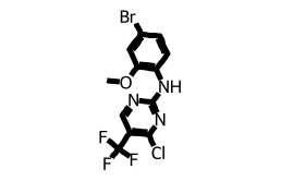 COc1cc(Br)ccc1Nc1ncc(C(F)(F)F)c(Cl)n1